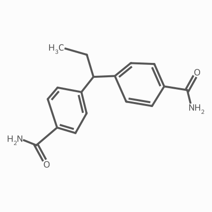 CCC(c1ccc(C(N)=O)cc1)c1ccc(C(N)=O)cc1